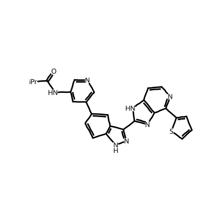 CC(C)C(=O)Nc1cncc(-c2ccc3[nH]nc(-c4nc5c(-c6cccs6)nccc5[nH]4)c3c2)c1